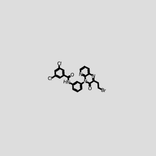 O=C(Nc1cccc(-n2c(=O)c(CCBr)nc3cccnc32)c1)c1cc(Cl)cc(Cl)c1